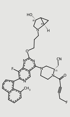 Cc1cccc2cccc(-c3ncc4c(N5CCN(C(=O)C#CCF)[C@@H](CC#N)C5)nc(OCCCN5C[C@H](O)C6C[C@H]65)nc4c3F)c12